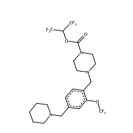 O=C(OC(C(F)(F)F)C(F)(F)F)N1CCN(Cc2ccc(CN3CCCCC3)cc2OC(F)(F)F)CC1